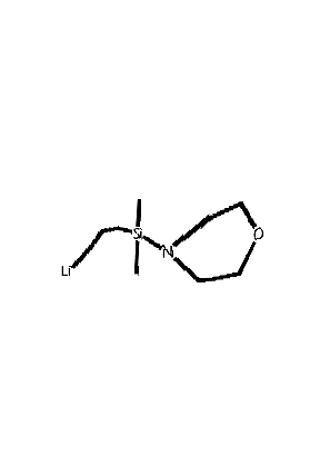 [Li][CH2][Si](C)(C)N1CCOCC1